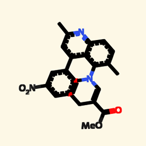 COC(=O)C1=CN(c2c(C)ccc3nc(C)cc(-c4cccc([N+](=O)[O-])c4)c23)C=CC1